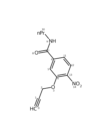 C#CCOc1cc(C(=O)NCCC)ccc1[N+](=O)[O-]